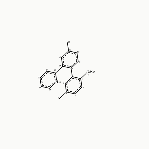 COc1ccc(C)cc1-c1ccc(C)cc1-c1ccccn1